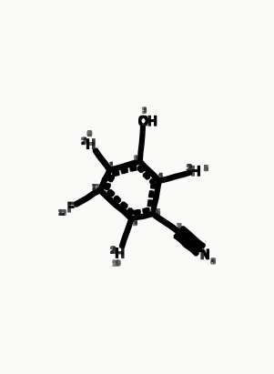 [2H]c1c(O)c([2H])c(C#N)c([2H])c1F